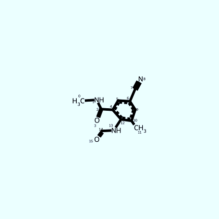 CNC(=O)c1cc(C#N)cc(C)c1NC=O